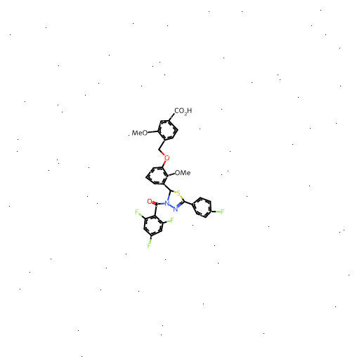 COc1cc(C(=O)O)ccc1COc1cccc(C2SC(c3ccc(F)cc3)=NN2C(=O)c2c(F)cc(F)cc2F)c1OC